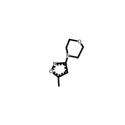 Cc1cc(N2CCOCC2)no1